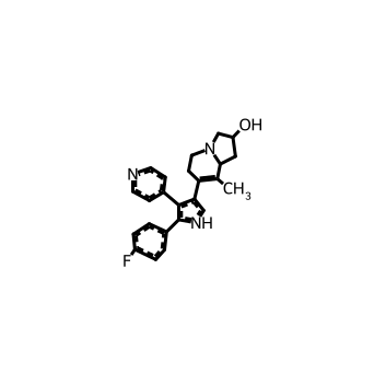 CC1=C(c2c[nH]c(-c3ccc(F)cc3)c2-c2ccncc2)CCN2CC(O)CC12